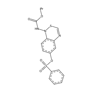 CC(C)OC(=O)NN1SC=Nc2cc(OS(=O)(=O)c3ccccc3)ccc21